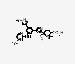 CC(C)n1cc(-c2cc(Nc3nccc(C(F)(F)F)n3)cc(-c3cnc(C4(O)CCC(C(=O)O)C(C)(C)C4)s3)c2)cn1